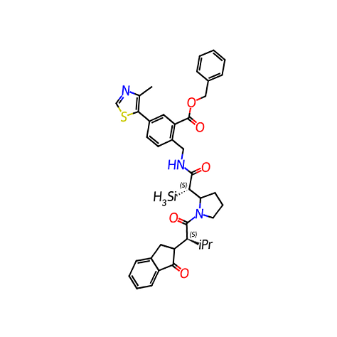 Cc1ncsc1-c1ccc(CNC(=O)[C@@H]([SiH3])C2CCCN2C(=O)[C@@H](C(C)C)C2Cc3ccccc3C2=O)c(C(=O)OCc2ccccc2)c1